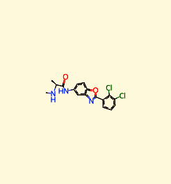 CN[C@@H](C)C(=O)Nc1ccc2oc(-c3cccc(Cl)c3Cl)nc2c1